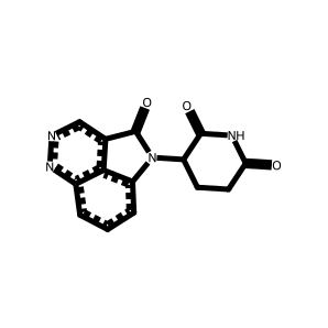 O=C1CCC(N2C(=O)c3cnnc4cccc2c34)C(=O)N1